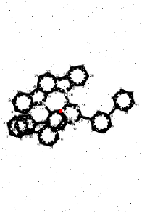 c1ccc(-c2cccc(-c3nc(-c4cccc(-c5ccccc5)c4)nc(-n4c5ccccc5c5ccc6c7ccccc7n(-c7ccccc7-c7ccccc7)c6c54)n3)c2)cc1